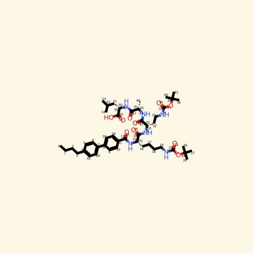 CCCCc1ccc(-c2ccc(C(=O)N[C@@H](CCCCNC(=O)OC(C)(C)C)C(=O)N[C@@H](CCNC(=O)OC(C)(C)C)C(=O)N[C@@H](C)C(=O)N[C@@H](CC(C)C)C(=O)O)cc2)cc1